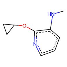 CNc1cccnc1OC1CC1